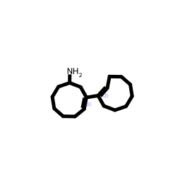 NC1CCCCC/C=C(/C2=C\CCCCCCC2)C1